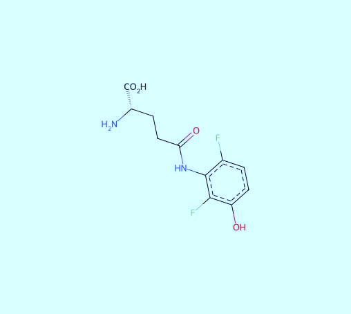 N[C@@H](CCC(=O)Nc1c(F)ccc(O)c1F)C(=O)O